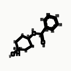 O=C(OC1CC[NH+]([O-])CC1)c1ccccc1